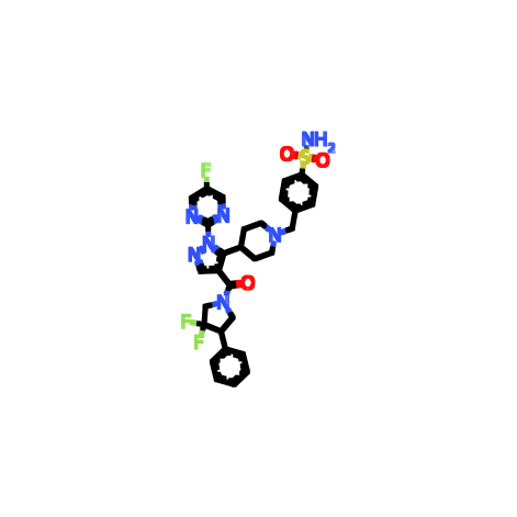 NS(=O)(=O)c1ccc(CN2CCC(c3c(C(=O)N4CC(c5ccccc5)C(F)(F)C4)cnn3-c3ncc(F)cn3)CC2)cc1